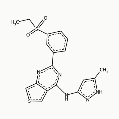 CCS(=O)(=O)c1cccc(-c2nc(Nc3cc(C)[nH]n3)c3cscc3n2)c1